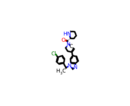 CC(c1ccc(Cl)cc1)n1cnc2ccc(C3=CCN(C(=O)[C@H]4CCCCN4)CC3)cc21